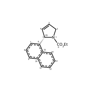 CCOC(=O)N1CC=C[C@H]1c1cccc2ccccc12